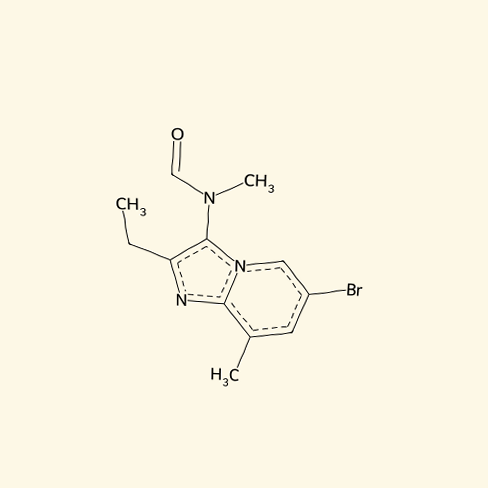 CCc1nc2c(C)cc(Br)cn2c1N(C)C=O